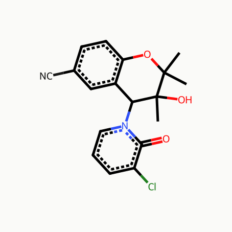 CC1(C)Oc2ccc(C#N)cc2C(n2cccc(Cl)c2=O)C1(C)O